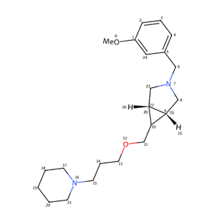 COc1cccc(CN2C[C@@H]3C(COCCCN4CCCCC4)[C@@H]3C2)c1